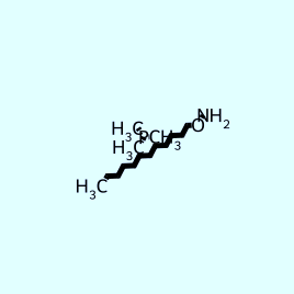 CCCCCCCCCCCCON.CP(C)C